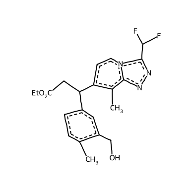 CCOC(=O)CC(c1ccc(C)c(CO)c1)c1ccn2c(C(F)F)nnc2c1C